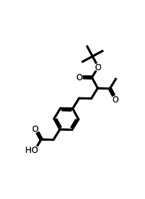 CC(=O)C(CCc1ccc(CC(=O)O)cc1)C(=O)OC(C)(C)C